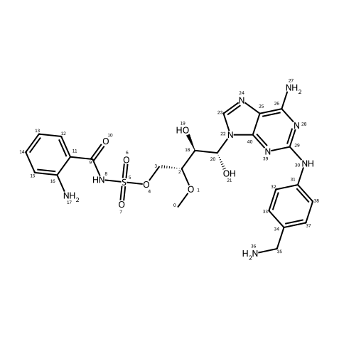 CO[C@H](COS(=O)(=O)NC(=O)c1ccccc1N)[C@@H](O)[C@@H](O)n1cnc2c(N)nc(Nc3ccc(CN)cc3)nc21